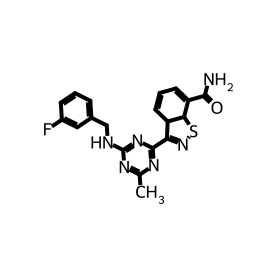 Cc1nc(NCc2cccc(F)c2)nc(C2=NSC3C(C(N)=O)=CC=CC23)n1